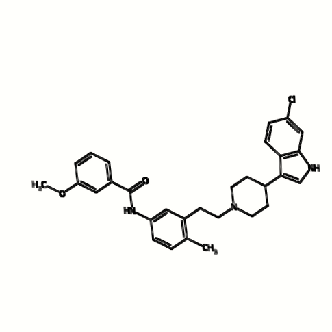 COc1cccc(C(=O)Nc2ccc(C)c(CCN3CCC(c4c[nH]c5cc(Cl)ccc45)CC3)c2)c1